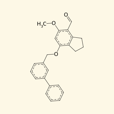 COc1cc(OCc2cccc(-c3ccccc3)c2)c2c(c1C=O)CCC2